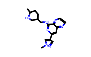 CC1CCC(CNc2nc(-c3cnn(C)c3)cc3nccnc23)CN1